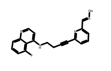 ON=Cc1cccc(C#CCCNc2ccnc3cccc(F)c23)n1